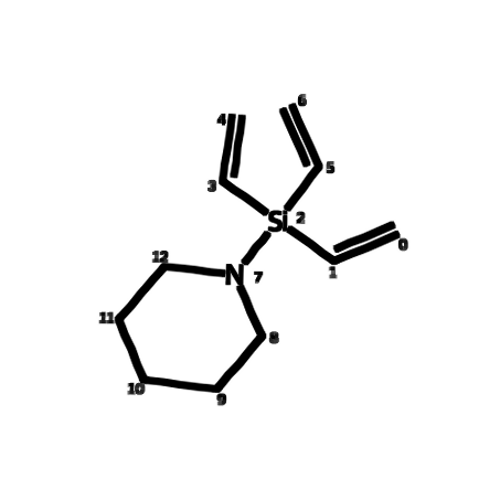 C=C[Si](C=C)(C=C)N1CCCCC1